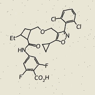 CCC1CC(COCc2c(-c3c(Cl)cccc3Cl)noc2C2CC2)C1C(=O)Nc1cc(F)c(C(=O)O)c(F)c1